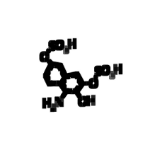 Nc1c(O)c(OS(=O)(=O)O)cc2cc(OS(=O)(=O)O)ccc12